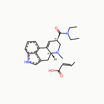 CC=CC(=O)O.CCN(CC)C(=O)[C@@H]1C=C2c3cccc4[nH]cc(c34)C[C@H]2N(C)C1